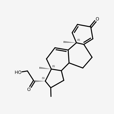 CC1CC2C3CCC4=CC(=O)C=C[C@]4(C)C3=CC[C@]2(C)[C@H]1C(=O)CO